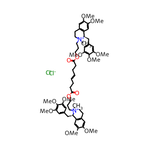 COc1cc2c(cc1OC)[C@@H](Cc1cc(OC)c(OC)c(OC)c1)[N@@+](C)(CCCOC(=O)CCC=CCCC(=O)OCCC[N@+]1(C)CCc3cc(OC)c(OC)cc3[C@H]1Cc1cc(OC)c(OC)c(OC)c1)CC2.[Cl-].[Cl-]